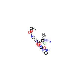 CCOC(=O)CCN1CCC(C2CCN(C(=O)[C@@H](Cc3cc(C)c(N)c(Cl)c3)OC(=O)N3CCC(N4CCc5ccccc5NC4=O)CC3)CC2)CC1